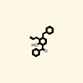 C=CCc1c(Cc2ccccc2)ccc(C(=O)c2ccccc2)c1O